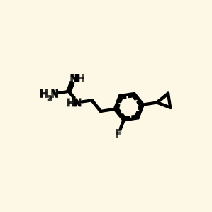 N=C(N)NCCc1ccc(C2CC2)cc1F